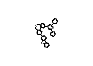 c1ccc(-c2cc(-c3ccc4c(c3)-c3cc(-c5ccc6c(c5)oc5ccccc56)ccc3CSC4)cc(-c3ccccc3)n2)cc1